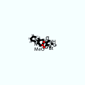 C=C(/C=C\C(=C/CC)C(=O)OC)Cn1c(Cc2cn3ccccc3n2)nc2c1c(=O)[nH]c(=O)n2CC